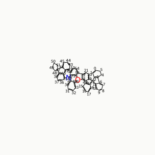 C1=CC2=C(CC1)c1ccccc1C2(c1ccccc1)c1ccc2c(c1)oc1c(N(c3ccccc3)c3cccc4c3-c3ccccc3C43CCCC3)cccc12